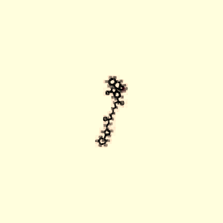 O=C(CCCCCCC(=O)c1ccc2c(c1)C(=O)CC21c2ccccc2Cc2ccccc21)CCC1=CC=C(C2CCCCC2)C1